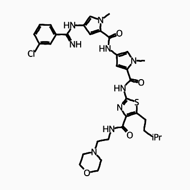 CC(C)CCc1sc(NC(=O)c2cc(NC(=O)c3cc(NC(=N)c4cccc(Cl)c4)cn3C)cn2C)nc1C(=O)NCCN1CCOCC1